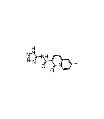 Cc1ccn2c(=O)c(C(=O)Nc3nnn[nH]3)ccc2c1